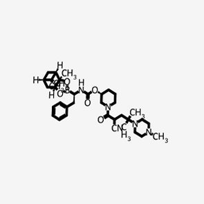 CN1CCN(C(C)(C)CC(C#N)C(=O)N2CCC[C@H](OC(=O)N[C@@H](Cc3ccccc3)B3O[C@@H]4C[C@@H]5C[C@@H](C5(C)C)[C@]4(C)O3)C2)CC1